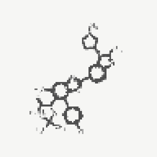 Cc1cc2nc(-c3ccc4nc(C)n(C5CCN(C)C5)c4c3)sc2c(-c2ccc(Cl)cc2)c1[C@H](OC(C)(C)C)C(=O)O